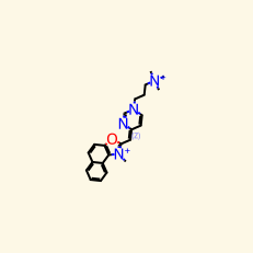 C[n+]1c(/C=C2/C=CN(CCC[N+](C)(C)C)C=N2)oc2ccc3ccccc3c21